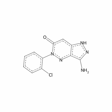 Nc1n[nH]c2cc(=O)n(-c3ccccc3Cl)nc12